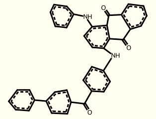 O=C(c1ccc(Nc2ccc(Nc3ccccc3)c3c2C(=O)c2ccccc2C3=O)cc1)c1ccc(-c2ccccc2)cc1